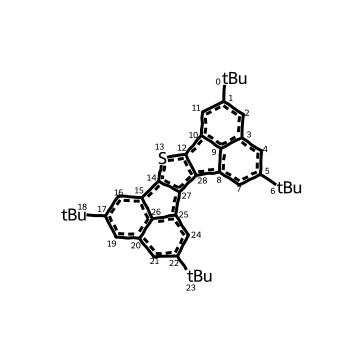 CC(C)(C)c1cc2cc(C(C)(C)C)cc3c2c(c1)c1sc2c4cc(C(C)(C)C)cc5cc(C(C)(C)C)cc(c54)c2c31